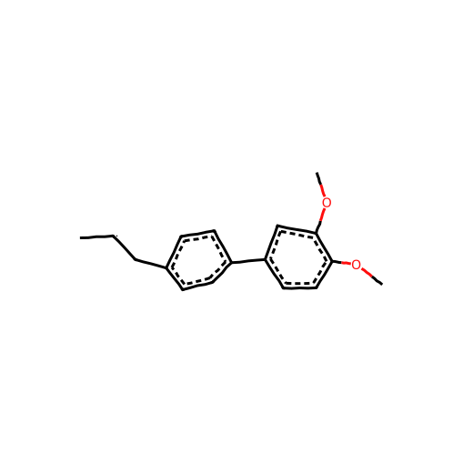 C[CH]Cc1ccc(-c2ccc(OC)c(OC)c2)cc1